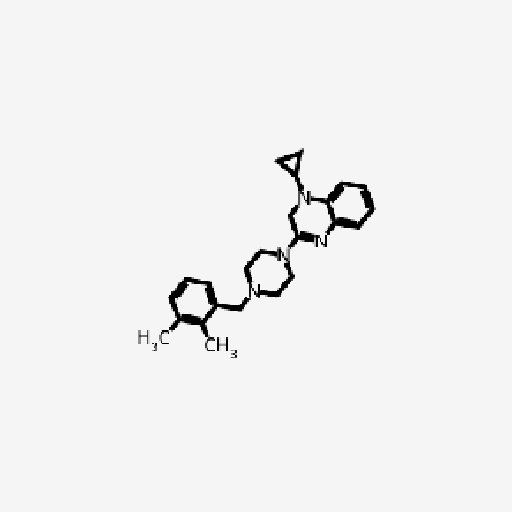 Cc1cccc(CN2CCN(C3=Nc4ccccc4N(C4CC4)C3)CC2)c1C